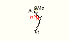 CC/C(C)=C/C=C/C=C/CCC(C)C(=O)CC(O)/C(C)=C/[C@@H](SOC)C(C)=O